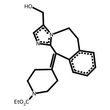 CCOC(=O)N1CCC(=C2c3ccccc3CCn3c(CO)cnc32)CC1